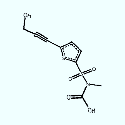 CN(C(=O)O)S(=O)(=O)c1ccc(C#CCO)s1